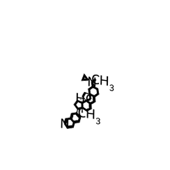 CN(C1CC1)C1CCC2=CC3=CC[C@]4(C)[C@@H](c5ccc6ccncc6c5)CC[C@H]4[C@@]34CC[C@]2(C1)O4